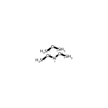 [SiH3]O[SiH3].[SiH3][O][Al][O][SiH3]